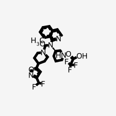 Cc1cccc2ccnc(N(C(=O)N3CCC(c4cc(C(F)F)no4)CC3)[C@@H]3CCCNC3)c12.O=C(O)C(F)(F)F